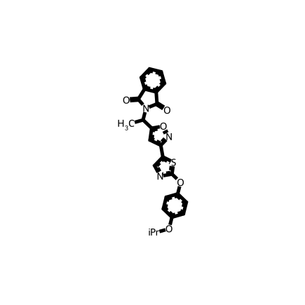 CC(C)Oc1ccc(Oc2ncc(-c3cc(C(C)N4C(=O)c5ccccc5C4=O)on3)s2)cc1